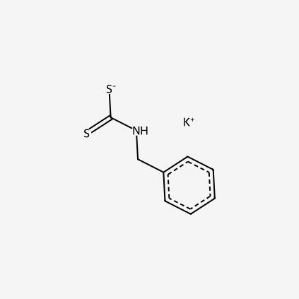 S=C([S-])NCc1ccccc1.[K+]